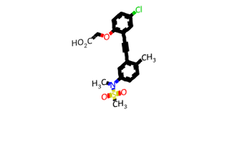 Cc1ccc(N(C)S(C)(=O)=O)cc1C#Cc1cc(Cl)ccc1OCC(=O)O